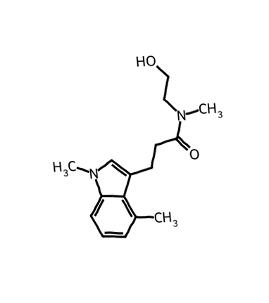 Cc1cccc2c1c(CCC(=O)N(C)CCO)cn2C